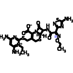 CCO/N=C(\C(=O)NC1C(=O)N2C(C(=O)[O-])=C(CSc3nc(N)cc(N)[n+]3CC)CS[C@H]12)c1nsc(N)n1